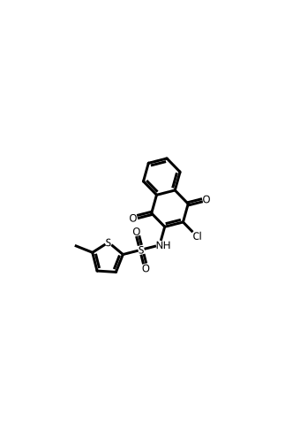 Cc1ccc(S(=O)(=O)NC2=C(Cl)C(=O)c3ccccc3C2=O)s1